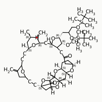 C=C1CC2CC[C@@]34C[C@H]5O[C@H]6[C@@H](O3)[C@H]3O[C@H](CC[C@@H]3O[C@H]6[C@H]5O4)CC(=O)CC3[C@H](C[C@H]4O[C@@H](CCC1O2)C[C@@H](C)C4=C)O[C@H](CC(CO[Si](C)(C)C(C)(C)C)O[Si](C)(C)C(C)(C)C)[C@@H]3OC